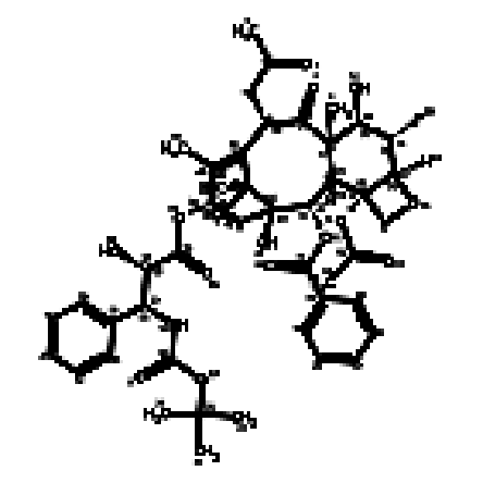 CC(=O)C[C@H]1C(=O)[C@@]2(C)[C@H]([C@H](OC(=O)c3ccccc3)[C@]3(O)C[C@H](OC(=O)[C@H](O)[C@@H](NC(=O)OC(C)(C)C)c4ccccc4)C(C)=C1C3(C)C)[C@]1(OC(C)=O)CO[C@@H]1[C@@H](F)[C@@H]2O